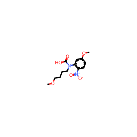 COCCCCN(C(=O)O)c1cc(OC)ccc1[N+](=O)[O-]